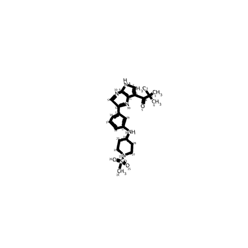 CC(C)(C)C(=O)c1c[nH]c2ncc(-c3cccc(NC4CCN(S(C)(=O)=O)CC4)c3)nc12